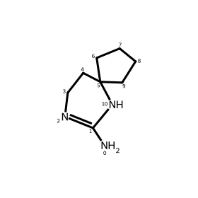 NC1=NCCC2(CCCC2)N1